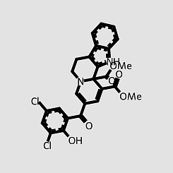 COC(=O)C1=CC(C(=O)c2cc(Cl)cc(Cl)c2O)=CN2CCc3c([nH]c4ccccc34)C12C(=O)OC